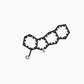 Clc1cccc2c1sc1cc3ccccc3cc12